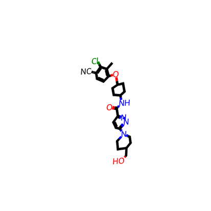 Cc1c(OC2CCC(NC(=O)c3ccc(N4CCC(CO)CC4)nn3)CC2)ccc(C#N)c1Cl